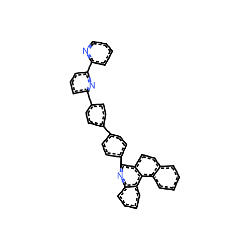 c1ccc(-c2cccc(-c3ccc(-c4ccc(-c5nc6ccccc6c6c5ccc5ccccc56)cc4)cc3)n2)nc1